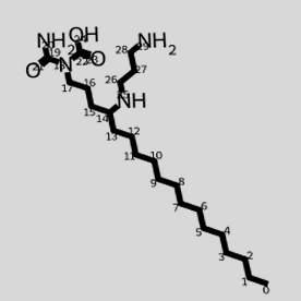 CCCCCCCCCCCCCCC(CCCN(C(N)=O)C(=O)O)NCCCN